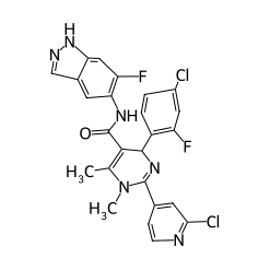 CC1=C(C(=O)Nc2cc3cn[nH]c3cc2F)C(c2ccc(Cl)cc2F)N=C(c2ccnc(Cl)c2)N1C